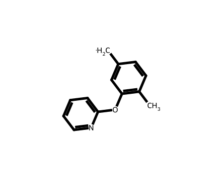 [CH2]c1ccc(C)c(Oc2ccccn2)c1